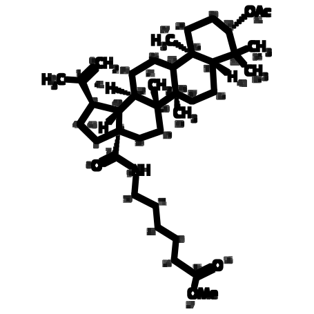 C=C(C)[C@@H]1CC[C@]2(C(=O)NCCCCCC(=O)OC)CC[C@]3(C)[C@H](CCC4[C@@]5(C)CC[C@H](OC(C)=O)C(C)(C)[C@@H]5CC[C@]43C)[C@@H]12